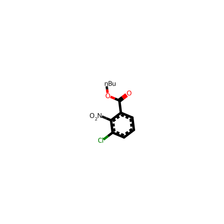 CCCCOC(=O)c1cccc(Cl)c1[N+](=O)[O-]